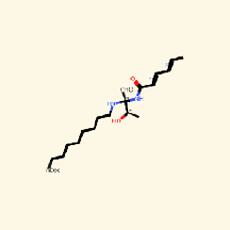 C/C=C/C=C/C(=O)N[C@@](C=O)(NCCCCCCCCCCCCCCCCCC)[C@@H](C)O